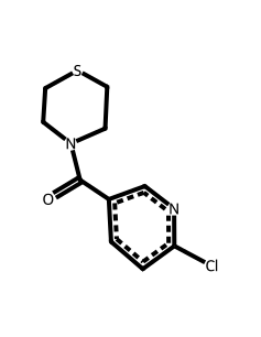 O=C(c1ccc(Cl)nc1)N1CCSCC1